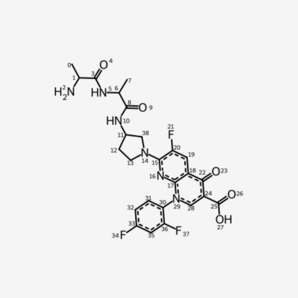 CC(N)C(=O)NC(C)C(=O)NC1CCN(c2nc3c(cc2F)c(=O)c(C(=O)O)cn3-c2ccc(F)cc2F)C1